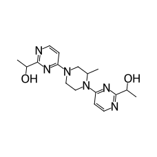 CC(O)c1nccc(N2CCN(c3ccnc(C(C)O)n3)C(C)C2)n1